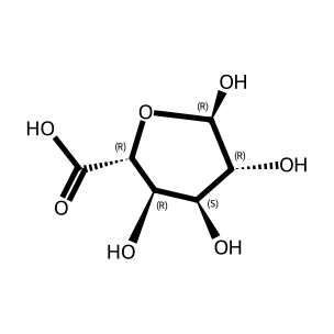 O=C(O)[C@@H]1O[C@@H](O)[C@H](O)[C@@H](O)[C@H]1O